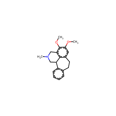 COc1cc2c3c(c1OC)CN(C)CC3c1ccccc1CC2